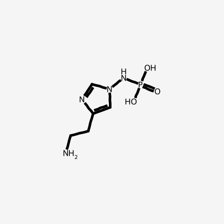 NCCc1cn(NP(=O)(O)O)cn1